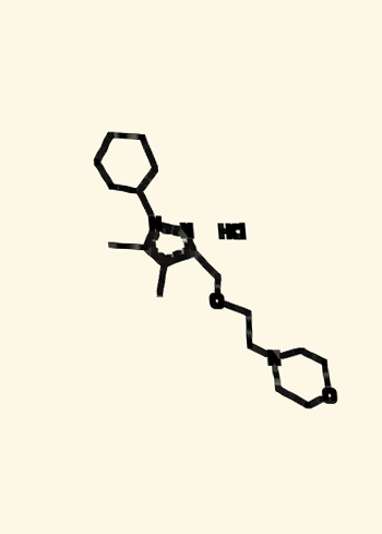 Cc1c(COCCN2CCOCC2)nn(C2CCCCC2)c1C.Cl